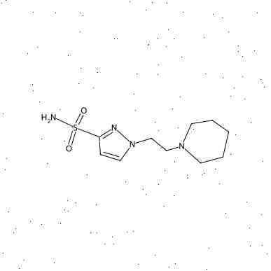 NS(=O)(=O)c1ccn(CCN2CCCCC2)n1